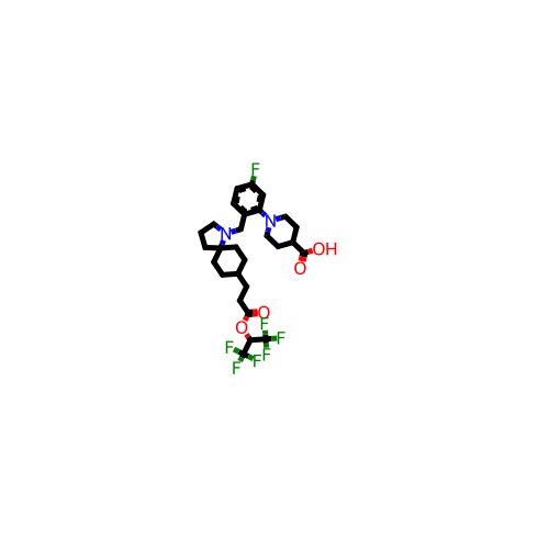 O=C(CCC1CCC2(CCCN2Cc2ccc(F)cc2N2CCC(C(=O)O)CC2)CC1)OC(C(F)(F)F)C(F)(F)F